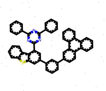 c1ccc(-c2nc(-c3ccccc3)nc(-c3cc(-c4cccc(-c5ccc6c7ccccc7c7ccccc7c6c5)c4)cc4sc5ccccc5c34)n2)cc1